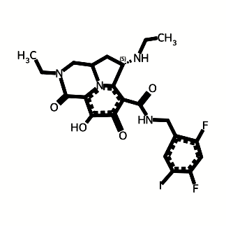 CCN[C@H]1CC2CN(CC)C(=O)c3c(O)c(=O)c(C(=O)NCc4cc(I)c(F)cc4F)c1n32